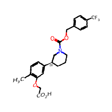 Cc1ccc([C@@H]2CCCN(C(=O)OCc3ccc(C(F)(F)F)cc3)C2)cc1OCC(=O)O